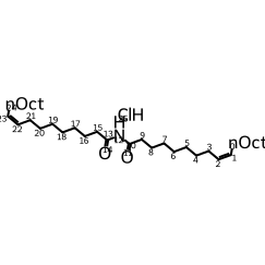 CCCCCCCC/C=C\CCCCCCCC(=O)NC(=O)CCCCCCC/C=C\CCCCCCCC.Cl